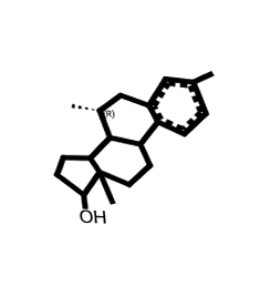 Cc1ccc2c(c1)C[C@@H](C)C1C2CCC2(C)C(O)CCC12